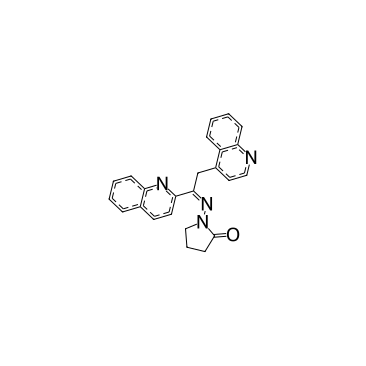 O=C1CCCN1N=C(Cc1ccnc2ccccc12)c1ccc2ccccc2n1